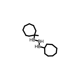 CC1(BBBC2CCCCCCC2)CCCCCCC1